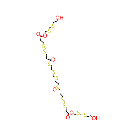 O=C(CCSCSCCC[S+]([O-])CCSCSCCSC(=O)CCSCSCCC(=O)OCSCSCCO)OCSCSCCO